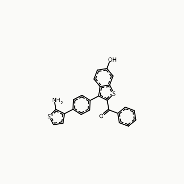 Nc1sccc1-c1ccc(-c2c(C(=O)c3ccccc3)sc3cc(O)ccc23)cc1